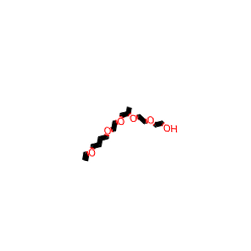 C=COCCCCOCCOCC(C)OCCOCCO